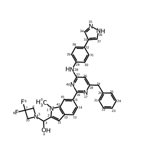 Cn1c(C(O)N2CC(F)(F)C2)cc2ccc(-c3nc(Cc4ccccc4)cc(Nc4ccc(-c5cn[nH]c5)cc4)n3)cc21